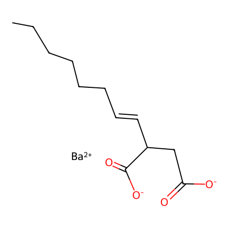 CCCCCCC=CC(CC(=O)[O-])C(=O)[O-].[Ba+2]